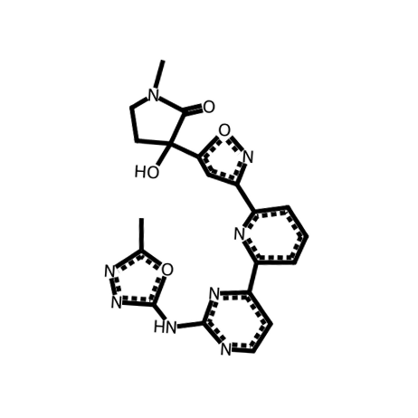 Cc1nnc(Nc2nccc(-c3cccc(-c4cc(C5(O)CCN(C)C5=O)on4)n3)n2)o1